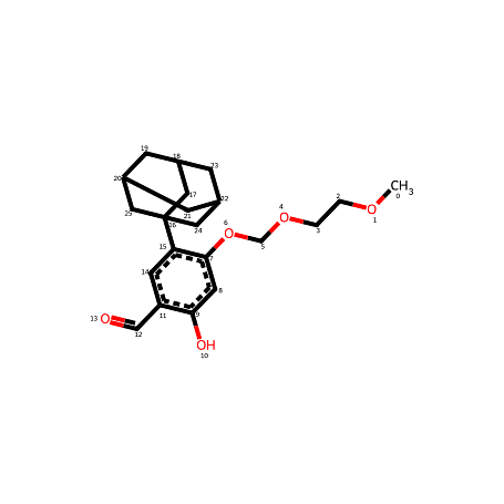 COCCOCOc1cc(O)c(C=O)cc1C12CC3CC(CC(C3)C1)C2